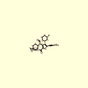 COC(=O)c1sc(C#CC(C)(C)C)cc1N(C(=O)[C@H]1CC[C@H](C)CC1)C1CCC2(CC1)CO2